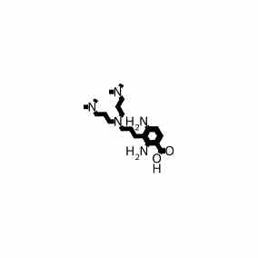 CN(C)CCCN(CCCc1c(N)ccc(C(=O)O)c1N)CCCN(C)C